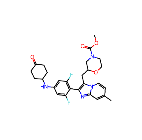 COC(=O)N1CCOC(Cc2c(-c3c(F)cc(NC4CCC(=O)CC4)cc3F)nc3cc(C)ccn23)C1